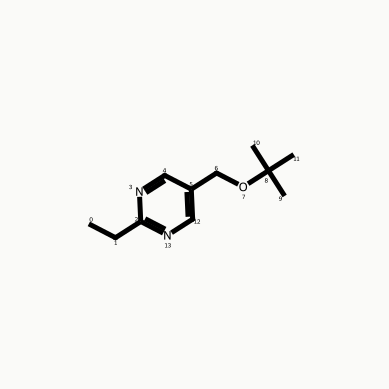 CCc1ncc(COC(C)(C)C)cn1